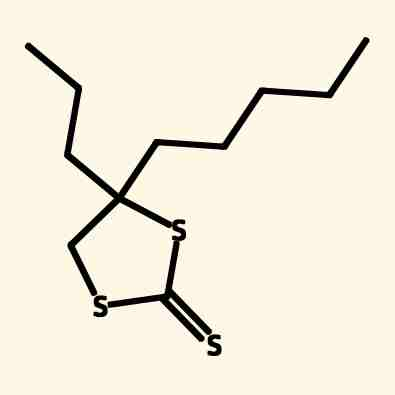 CCCCCC1(CCC)CSC(=S)S1